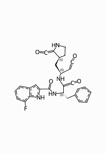 O=C=C[C@H](C[C@@H]1CCNC1=C=O)NC(=C=O)[C@H](Cc1ccccc1)NC(=O)c1cc2cccc(F)c2[nH]1